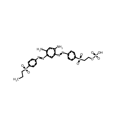 CCCS(=O)(=O)c1ccc(/N=N/c2cc(/N=N/c3ccc(S(=O)(=O)CCOS(=O)(=O)O)cc3)c(N)cc2N)cc1